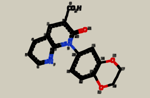 O=C(O)c1cc2cccnc2n(-c2ccc3c(c2)OCCO3)c1=O